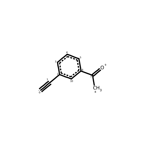 [C]#Cc1cccc(C(C)=O)c1